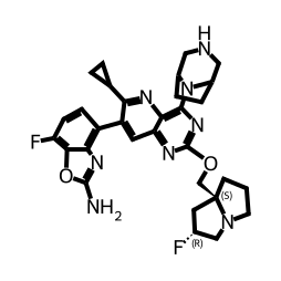 Nc1nc2c(-c3cc4nc(OC[C@@]56CCCN5C[C@H](F)C6)nc(N5C6CCC5CNC6)c4nc3C3CC3)ccc(F)c2o1